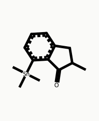 CC1Cc2ccc[c]([Sn]([CH3])([CH3])[CH3])c2C1=O